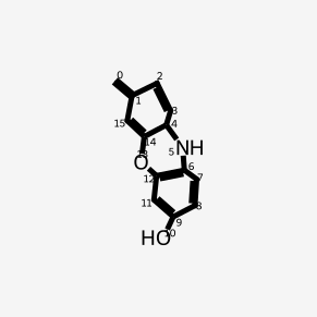 C=C1C=CC2Nc3ccc(O)cc3OC2=C1